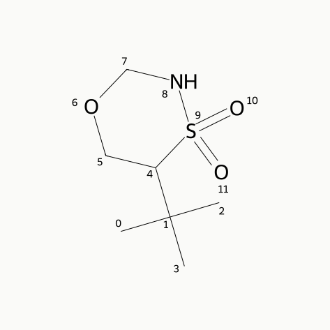 CC(C)(C)C1COCNS1(=O)=O